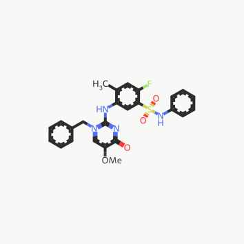 COc1cn(Cc2ccccc2)c(Nc2cc(S(=O)(=O)Nc3ccccc3)c(F)cc2C)nc1=O